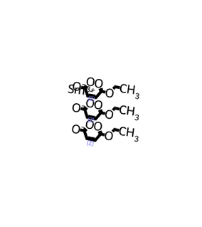 CCOC(=O)/C=C\C(=O)[O-].CCOC(=O)/C=C\C(=O)[O-].CCOC(=O)/C=C\C(=O)[O-].[Sm+3]